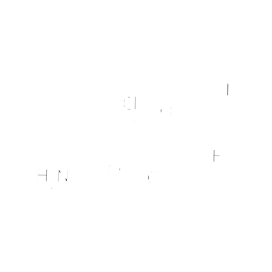 NCCOc1cc(Cl)c(Oc2cc(F)cc(F)c2)cc1Cl